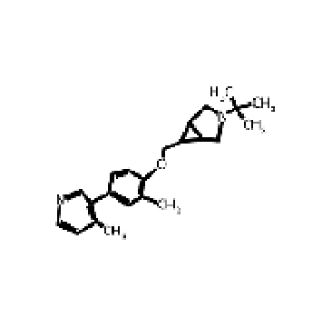 Cc1cc(-c2cnccc2C)ccc1OCC1C2CN(C(C)(C)C)CC12